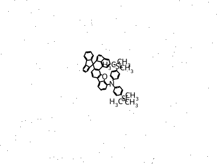 C[Si](C)(C)c1ccc(N(c2ccc([Si](C)(C)C)cc2)c2cccc3c2oc2c4c(ccc23)C2(c3ccccc3-c3ccccc32)c2cccc3cccc-4c23)cc1